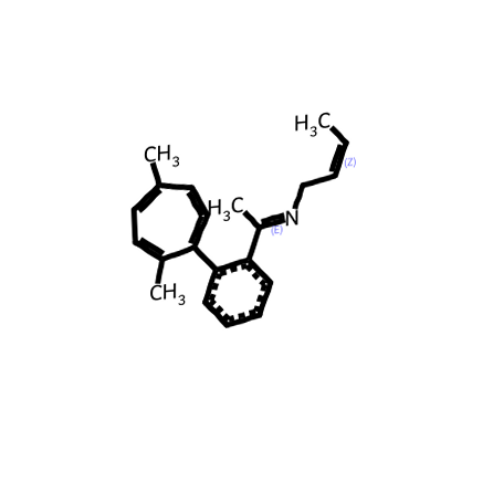 C/C=C\C/N=C(\C)c1ccccc1C1=C=CC(C)=CC=C1C